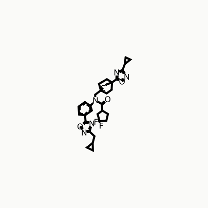 O=C(C1CCC(F)(F)C1)N(CC12CCC(c3nc(C4CC4)no3)(CC1)CC2)c1cccc(-c2nc(CC3CC3)no2)c1